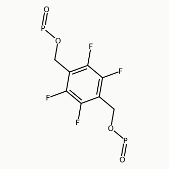 O=POCc1c(F)c(F)c(COP=O)c(F)c1F